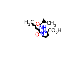 C=CCCC(NC(=O)[C@H]1C[C@@H]1C)C(=O)N1CCC[C@@H](C(=O)O)N1